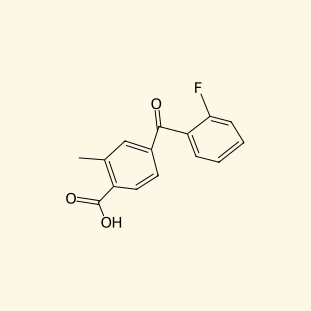 Cc1cc(C(=O)c2ccccc2F)ccc1C(=O)O